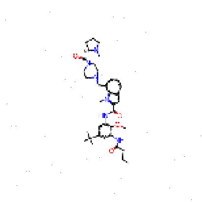 CCCC(=O)Nc1cc(C(C)(C)C)cc(NC(=O)c2cc3cccc(CN4CCN(C(=O)[C@@H]5CCCN5C)CC4)c3n2C)c1OC